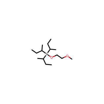 CCC(C)[Si](OCCOC)(C(C)CC)C(C)CC